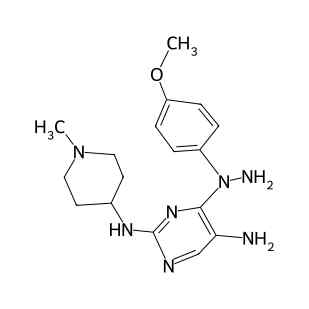 COc1ccc(N(N)c2nc(NC3CCN(C)CC3)ncc2N)cc1